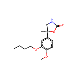 CCCCOc1cc(C2(C)CNC(=O)O2)ccc1OC